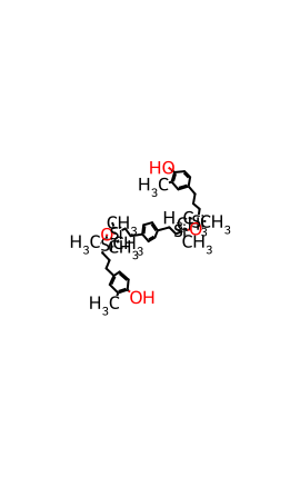 Cc1cc(CCC[Si](C)(C)O[Si](C)(C)CCc2ccc(CC[Si](C)(C)O[Si](C)(C)CCCc3ccc(O)c(C)c3)cc2)ccc1O